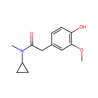 COc1cc(CC(=O)N(C)C2CC2)ccc1O